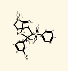 CN1CCC2(CC(S(=O)(=O)c3ccccc3)C(C)(c3cccc(Br)c3)N2)C1=O